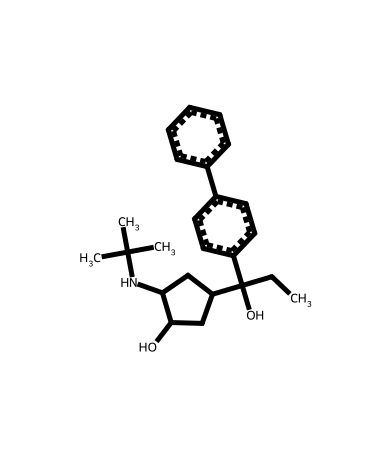 CCC(O)(c1ccc(-c2ccccc2)cc1)C1CC(O)C(NC(C)(C)C)C1